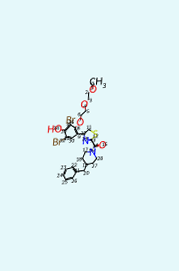 COCCOCCOc1c(C2CSC(C(=O)N3CCC(Cc4ccccc4)CC3)=N2)cc(Br)c(O)c1Br